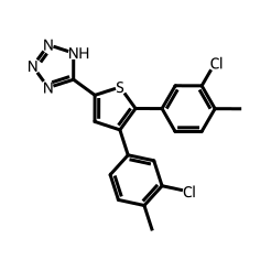 Cc1ccc(-c2cc(-c3nnn[nH]3)sc2-c2ccc(C)c(Cl)c2)cc1Cl